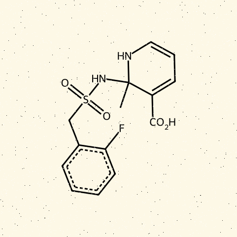 CC1(NS(=O)(=O)Cc2ccccc2F)NC=CC=C1C(=O)O